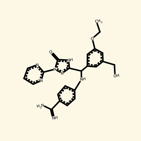 CCOc1cc(CO)cc(C(Nc2ccc(C(=N)N)cc2)c2nn(-c3ncccn3)c(=O)[nH]2)c1